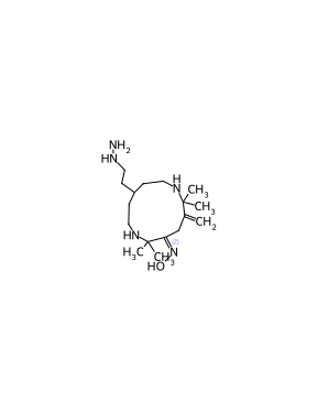 C=C1C/C(=N/O)C(C)(C)NCCC(CCNN)CCNC1(C)C